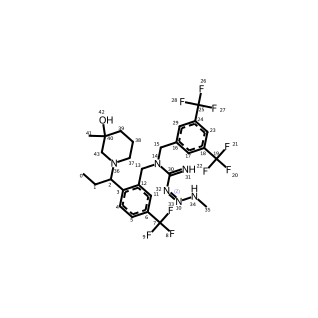 CCC(c1ccc(C(F)(F)F)cc1CN(Cc1cc(C(F)(F)F)cc(C(F)(F)F)c1)C(=N)/N=N\NC)N1CCCC(C)(O)C1